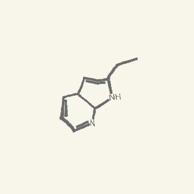 CCC1=CC2C=CC=NC2N1